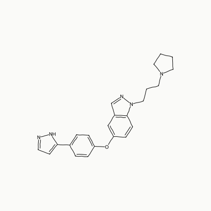 c1cc(-c2ccc(Oc3ccc4c(cnn4CCCN4CCCC4)c3)cc2)[nH]n1